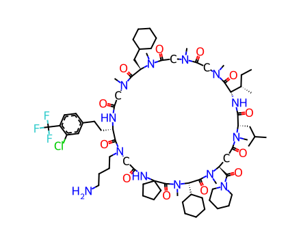 CC[C@H](C)[C@@H]1NC(=O)[C@H](CC(C)C)N(C)C(=O)C[C@@H](C(=O)N2CCCCC2)N(C)C(=O)[C@H](C2CCCCC2)N(C)C(=O)C2(CCCC2)NC(=O)CN(CCCCN)C(=O)[C@H](CCc2ccc(C(F)(F)F)c(Cl)c2)NC(=O)CN(C)C(=O)[C@@H](CC2CCCCC2)N(C)C(=O)CN(C)C(=O)CN(C)C1=O